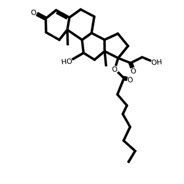 CCCCCCCC(=O)OC1(C(=O)CO)CCC2C3CCC4=CC(=O)CCC4(C)C3C(O)CC21C